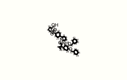 O=C(Nc1cccc(-c2ccc(S(=O)(=O)N3CCC[C@@H]3CO)cc2)n1)C1(c2ccc(OCc3ccccc3)c(OCc3ccccc3)c2)CC1